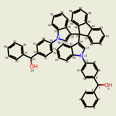 OC(c1ccccc1)c1ccc(-n2cc(C3(c4cn(-c5ccc(C(O)c6ccccc6)cc5)c5ccccc45)c4ccccc4-c4ccccc43)c3ccccc32)cc1